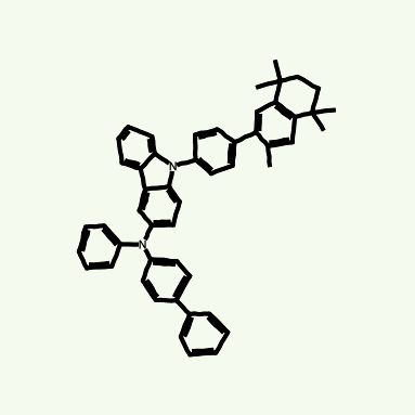 Cc1cc2c(cc1-c1ccc(-n3c4ccccc4c4cc(N(c5ccccc5)c5ccc(-c6ccccc6)cc5)ccc43)cc1)C(C)(C)CCC2(C)C